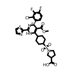 COC(=O)C1=C(C2CCC(S(=O)(=O)N3CCC(C(=O)O)C3)CC2)NC(c2nccs2)=N[C@H]1c1ccc(F)c(F)c1Cl